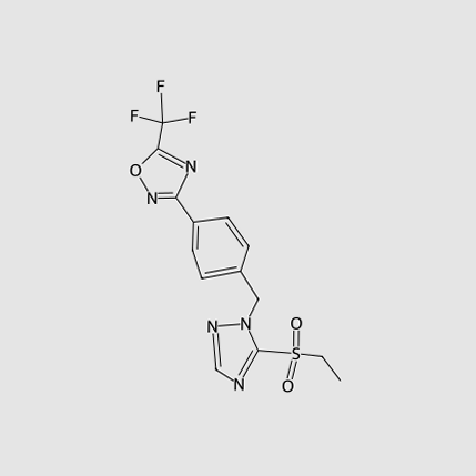 CCS(=O)(=O)c1ncnn1Cc1ccc(-c2noc(C(F)(F)F)n2)cc1